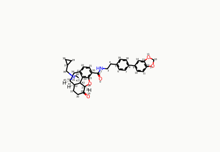 O=C(NCCc1ccc(-c2ccc3c(c2)OCO3)cc1)c1ccc2c3c1O[C@H]1C(=O)CC[C@H]4[C@@H](C2)N(CC2CC2)CC[C@]314